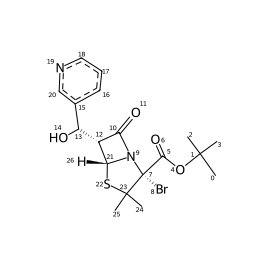 CC(C)(C)OC(=O)[C@]1(Br)N2C(=O)[C@@H](C(O)c3cccnc3)[C@H]2SC1(C)C